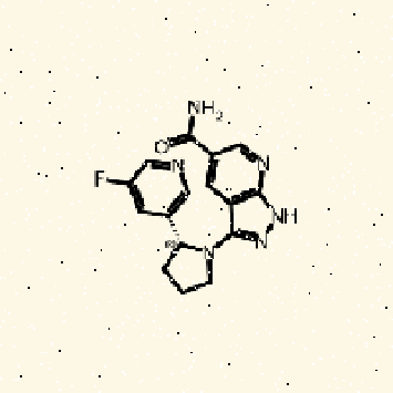 NC(=O)c1cnc2[nH]nc(N3CCC[C@@H]3c3cncc(F)c3)c2c1